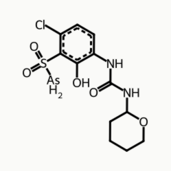 O=C(Nc1ccc(Cl)c(S(=O)(=O)[AsH2])c1O)NC1CCCCO1